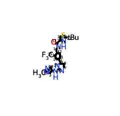 Cn1cc(Nc2nccc(-c3ccc(CNC(=O)c4csc(C(C)(C)C)n4)c(C(F)(F)F)c3)n2)cn1